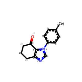 N#Cc1ccc(-n2cnc3c2C(=O)CCC3)cc1